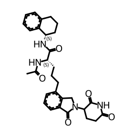 CC(=O)N[C@@H](CCCc1cccc2c1CN(C1CCC(=O)NC1=O)C2=O)C(=O)N[C@H]1CCCc2ccccc21